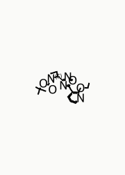 CCOc1ncccc1-c1nc([C@@H]2CCN2C(=O)OC(C)(C)C)no1